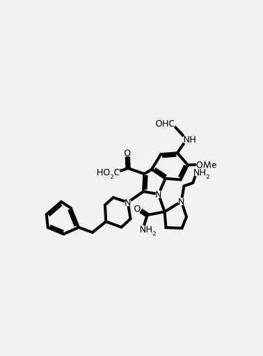 COc1cc2c(cc1NC=O)c(C(=O)C(=O)O)c(N1CCC(Cc3ccccc3)CC1)n2C1(C(N)=O)CCCN1CCN